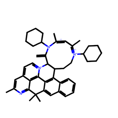 C=C1C2C(CC/[N+](C3CCCCC3)=C(C)\C=C(\C)N1C1CCCCC1)c1c3c(cc4ccccc14)C(C)(C)c1nc(C)cc4cc[n+]2c-3c14